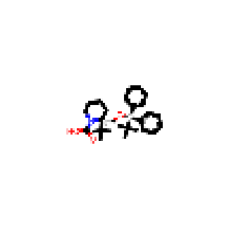 CC(C)(C)[C@]1(CO[Si](c2ccccc2)(c2ccccc2)C(C)(C)C)CC=CCN1C(=O)O